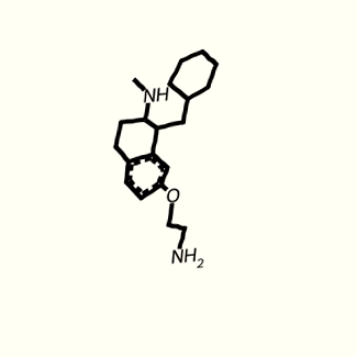 CNC1CCc2ccc(OCCN)cc2C1CC1CCCCC1